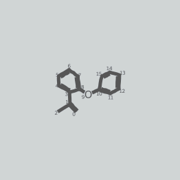 C=C(C)c1ccccc1Oc1ccccc1